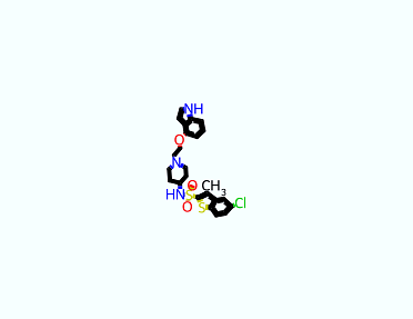 Cc1c(S(=O)(=O)NC2CCN(CCOc3cccc4[nH]ccc34)CC2)sc2ccc(Cl)cc12